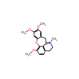 COc1cc2c(cc1OC)Oc1c(OC)ccc3c1[C@H](C2)N(C)CC3